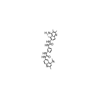 Cc1cc(N(C)C)c2cc(NC(=O)Nc3cccc(NC(=O)Nc4ccc5nc(C)c(C)c(N)c5c4C)c3)ccc2n1